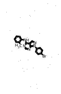 Cc1ccccc1Nc1ncnc2c1cnn2-c1ccc(Br)cc1